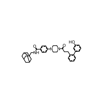 O=C(NCC12CC3CC(CC(C3)C1)C2)c1ccc(N2CCN(C(=O)CCc3ccccc3-c3cccc(O)c3)CC2)cc1